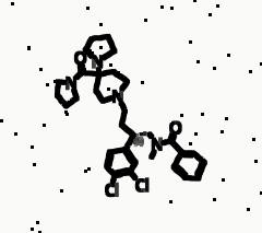 CN(C[C@@H](CCN1CCC(C(=O)N2CCCC2)(N2CCCC2)CC1)c1ccc(Cl)c(Cl)c1)C(=O)c1ccccc1